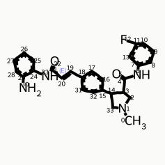 CN1CC(C(=O)Nc2cccc(F)c2)C(c2ccc(/C=C/C(=O)Nc3ccccc3N)cc2)C1